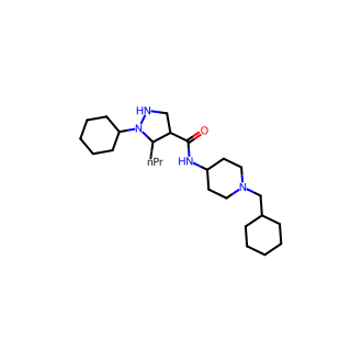 CCCC1C(C(=O)NC2CCN(CC3CCCCC3)CC2)CNN1C1CCCCC1